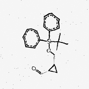 CC(C)(C)[Si](OC[C@@H]1C[C@@H]1C=O)(c1ccccc1)c1ccccc1